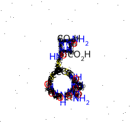 CC[C@@H]1NC(=O)[C@@H]2CCCN2C(=O)[C@@H]2CCCN2C(=O)CCSCc2cc(CSCCNC(=O)CN3CCN(CC(=O)O)CCN(CC(N)=O)CCN(CC(=O)O)CC3)cc(c2)CSCCNC(=O)[C@H](Cc2ccccc2)NC(=O)[C@H](CCC(N)=O)NC1=O